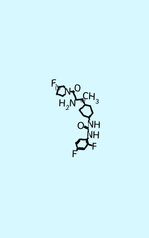 C[C@@H](C1CCC(NC(=O)Nc2ccc(F)cc2F)CC1)C(N)C(=O)N1CC[C@H](F)C1